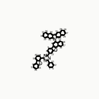 c1ccc(-c2nc(-c3ccc4c(c3)oc3c5ccccc5c(-n5c6cc7ccccc7cc6c6cc7ccccc7cc65)cc43)nc(-c3cccc4c3oc3ccccc34)n2)cc1